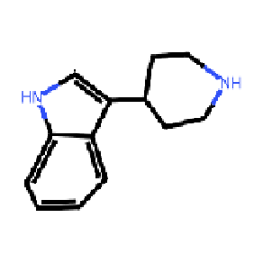 [c]1[nH]c2ccccc2c1C1CCNCC1